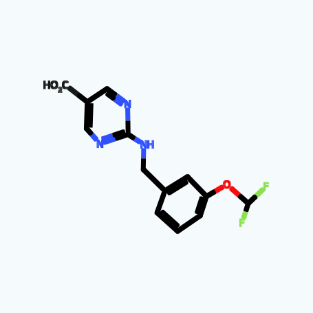 O=C(O)c1cnc(NCc2cccc(OC(F)F)c2)nc1